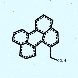 O=C(O)Cc1ccc2cccc3c4cccc5cccc(c1c23)c54